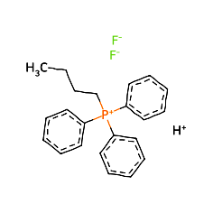 CCCC[P+](c1ccccc1)(c1ccccc1)c1ccccc1.[F-].[F-].[H+]